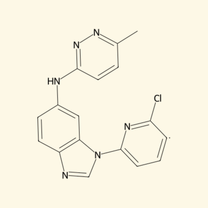 Cc1ccc(Nc2ccc3ncn(-c4cc[c]c(Cl)n4)c3c2)nn1